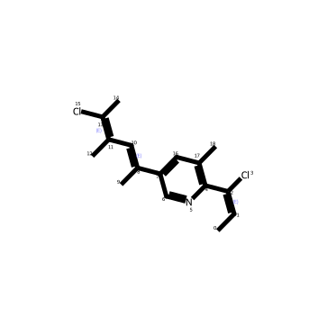 C/C=C(/Cl)c1ncc(/C(C)=C/C(C)=C(\C)Cl)cc1C